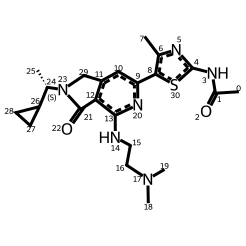 CC(=O)Nc1nc(C)c(-c2cc3c(c(NCCN(C)C)n2)C(=O)N([C@@H](C)C2CC2)C3)s1